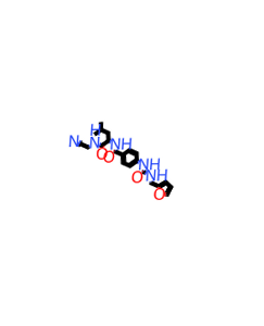 CC(C)CC(NC(=O)c1ccc(NC(=O)NCc2ccco2)cc1)C(=O)NCC#N